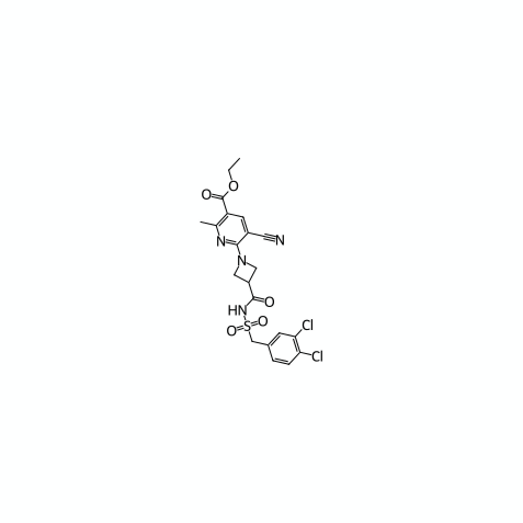 CCOC(=O)c1cc(C#N)c(N2CC(C(=O)NS(=O)(=O)Cc3ccc(Cl)c(Cl)c3)C2)nc1C